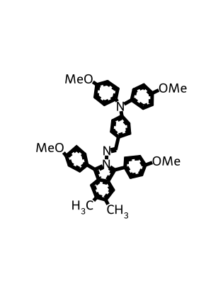 COc1ccc(-c2c3cc(C)c(C)cc3c(-c3ccc(OC)cc3)n2N=Cc2ccc(N(c3ccc(OC)cc3)c3ccc(OC)cc3)cc2)cc1